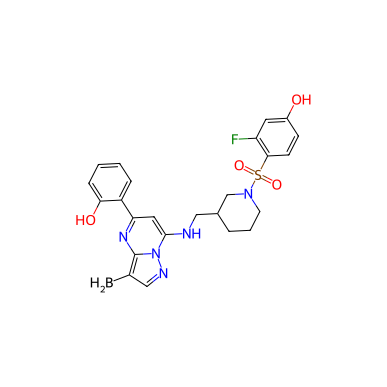 Bc1cnn2c(NCC3CCCN(S(=O)(=O)c4ccc(O)cc4F)C3)cc(-c3ccccc3O)nc12